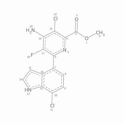 COC(=O)c1nc(-c2ccc(Cl)c3[nH]ccc23)c(F)c(N)c1Cl